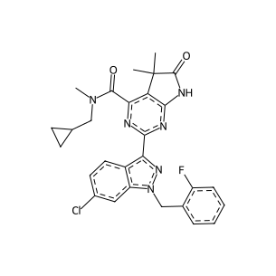 CN(CC1CC1)C(=O)c1nc(-c2nn(Cc3ccccc3F)c3cc(Cl)ccc23)nc2c1C(C)(C)C(=O)N2